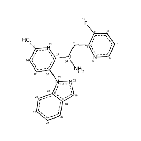 Cl.N[C@@H](Cc1ncccc1F)c1ncccc1-n1ncc2ccccc21